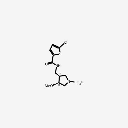 CO[C@@H]1CN(C(=O)O)C[C@@H]1CNC(=O)c1ccc(Cl)s1